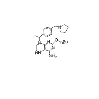 CCCCOc1nc(N)c2c(n1)N(C(C)c1ccc(CN3CCCC3)cc1)CCN2